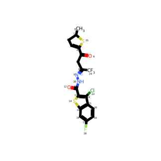 CC1CC=C(C(=O)C/C(=N/NC(=O)c2sc3cc(F)ccc3c2Cl)C(F)(F)F)S1